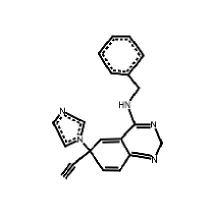 C#CC1(n2ccnc2)C=CC2=NCN=C(NCc3ccccc3)C2=C1